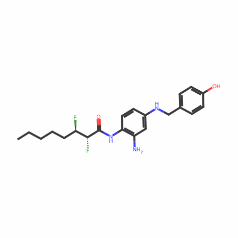 CCCCC[C@@H](F)[C@@H](F)C(=O)Nc1ccc(NCc2ccc(O)cc2)cc1N